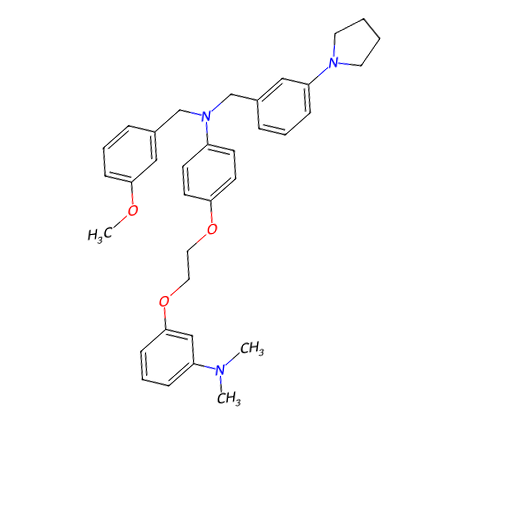 COc1cccc(CN(Cc2cccc(N3CCCC3)c2)c2ccc(OCCOc3cccc(N(C)C)c3)cc2)c1